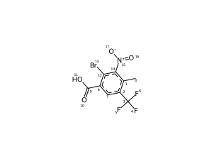 Cc1c(C(F)(F)F)cc(C(=O)O)c(Br)c1[N+](=O)[O-]